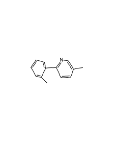 Cc1ccc(-c2ccccc2C)nc1